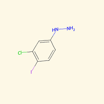 NNc1ccc(I)c(Cl)c1